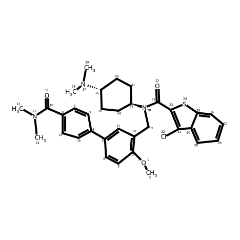 COc1ccc(-c2ccc(C(=O)N(C)C)cc2)cc1CN(C(=O)c1sc2ccccc2c1Cl)[C@H]1CC[C@H](N(C)C)CC1